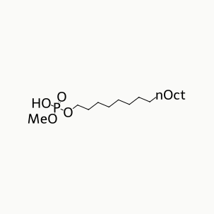 CCCCCCCCCCCCCCCCOP(=O)(O)OC